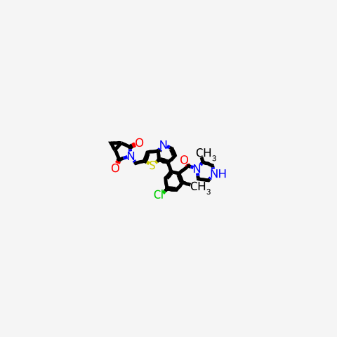 Cc1cc(Cl)cc(-c2ccnc3cc(CN4C(=O)C5CC5C4=O)sc23)c1C(=O)N1CCNCC1C